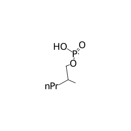 CCCC(C)CO[P](=O)O